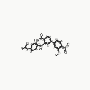 COc1cc(-c2ccc3c(c2)Nc2ccc(CC(C)=O)cc2NC3=O)ccc1[N+](=O)[O-]